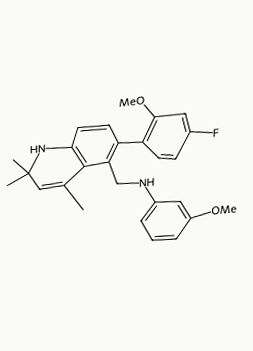 COc1cccc(NCc2c(-c3ccc(F)cc3OC)ccc3c2C(C)=CC(C)(C)N3)c1